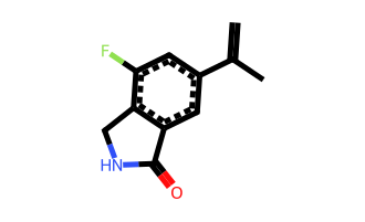 C=C(C)c1cc(F)c2c(c1)C(=O)NC2